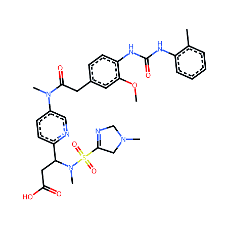 COc1cc(CC(=O)N(C)c2ccc(C(CC(=O)O)N(C)S(=O)(=O)C3=NCN(C)C3)nc2)ccc1NC(=O)Nc1ccccc1C